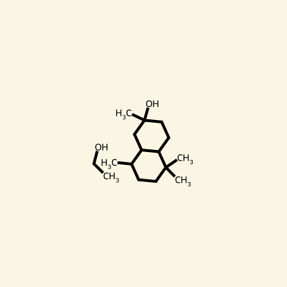 CC1CCC(C)(C)C2CCC(C)(O)CC12.CCO